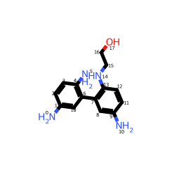 Nc1ccc(N)c(-c2cc(N)ccc2NCCO)c1